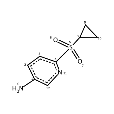 Nc1ccc(S(=O)(=O)C2CC2)nc1